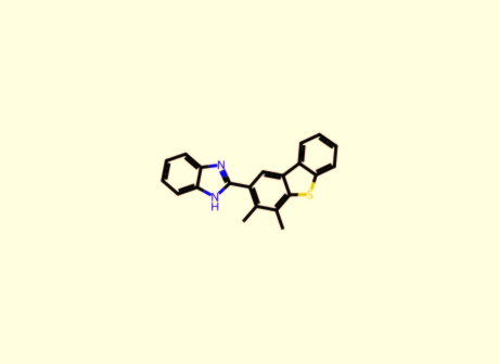 Cc1c(-c2nc3ccccc3[nH]2)cc2c(sc3ccccc32)c1C